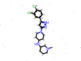 CN1CCCC(NC2CCN(c3cc(-c4ccc(Cl)c(Cl)c4)[nH]n3)CC2)C1